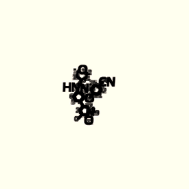 Cc1cc(-c2ccc3[nH]c(C4CCOCC4)nc3c2Oc2ccc(C#N)cc2)cn(C)c1=O